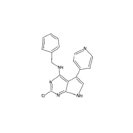 Clc1nc(NCc2ccccc2)c2c(-c3ccncc3)c[nH]c2n1